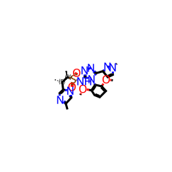 COc1cccc(OC)c1-n1c(NS(=O)(=O)[C@H](C)[C@@H](C)c2cnc(C)cn2)nnc1-c1ccn(C)n1